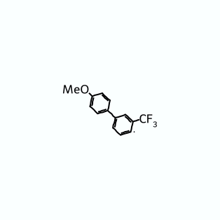 COc1ccc(-c2cc[c]c(C(F)(F)F)c2)cc1